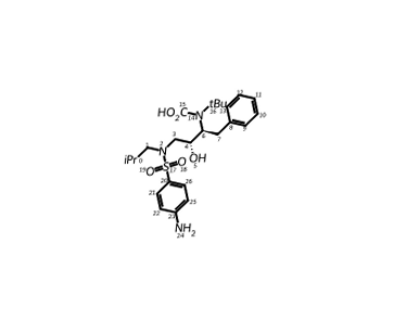 CC(C)CN(C[C@@H](O)[C@H](Cc1ccccc1)N(C(=O)O)C(C)(C)C)S(=O)(=O)c1ccc(N)cc1